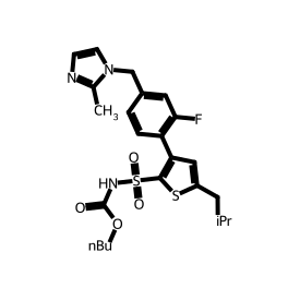 CCCCOC(=O)NS(=O)(=O)c1sc(CC(C)C)cc1-c1ccc(Cn2ccnc2C)cc1F